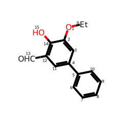 CCOc1cc(-c2ccccc2)cc(C=O)c1O